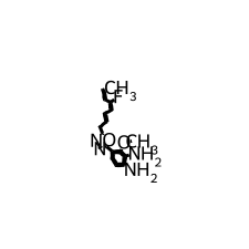 C\C=C/C(F)=C\C=C\Cc1nnc(-c2ccc(N)c(N)c2OC)o1